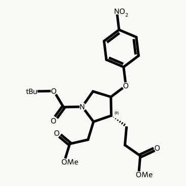 COC(=O)CC[C@H]1C(Oc2ccc([N+](=O)[O-])cc2)CN(C(=O)OC(C)(C)C)C1CC(=O)OC